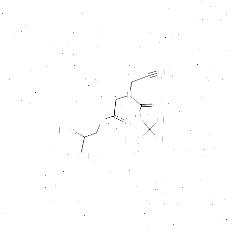 C#CCN(CC(=O)OCC(C)C)C(=O)OC(C)(C)C